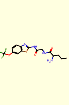 CCCC(N)C(=O)NCC(=O)Nc1nc2ccc(OC(F)(F)F)cc2s1